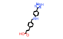 O=C(O)C=Cc1ccc(CNc2ccc(-c3nn[nH]n3)cc2)cc1